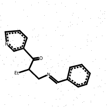 CCC(CN=Cc1ccccc1)C(=O)c1cccnc1